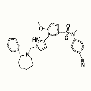 COc1ccc(S(=O)(=O)N(C)c2ccc(C#N)cc2)cc1-c1ccc(CN2CCCCC[C@@H]2c2ccccc2)[nH]1